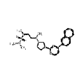 CN(CCN(C)S(=O)(=O)N(C)C)[C@@H]1CCN(c2nccc(-c3ccc4ccccc4c3)n2)C1